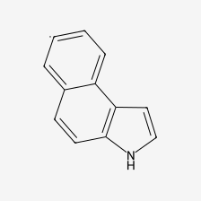 [c]1ccc2c(c1)ccc1[nH]ccc12